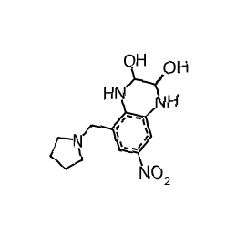 O=[N+]([O-])c1cc(CN2CCCC2)c2c(c1)NC(O)C(O)N2